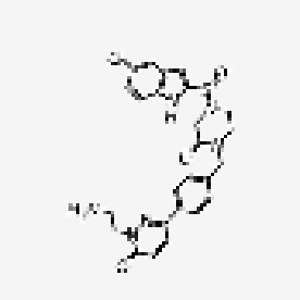 NCCn1nc(-c2ccc(CN3CCN([S+]([O-])c4cc5cc(Cl)ccc5[nH]4)CC3=O)cc2)ccc1=O